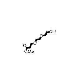 COC(=O)CCOCCOCCO